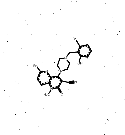 Cn1c(=O)c(C#N)c(N2CCN(Cc3c(O)cccc3Br)CC2)c2nc(Br)ccc21